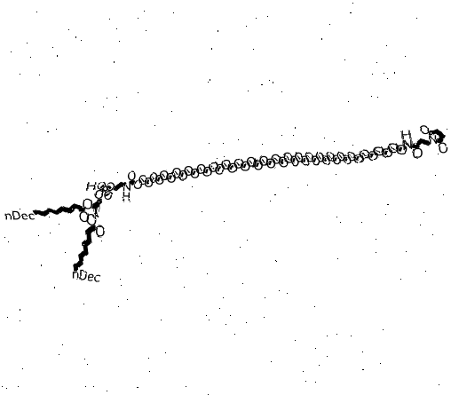 CCCCCCCCCCCCCCCCCC(=O)OC[C@H](COP(=O)(O)OCCNC(=O)OOOOOOOOOOOOOOOOOOOOOOOOOOOOOOOOOOOOOOOOOOOOONC(=O)CCN1C(=O)C=CC1=O)OC(=O)CCCCCCCCCCCCCCCCC